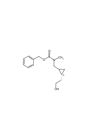 CN(CC1C[C@@H]1CCO)C(=O)OCc1ccccc1